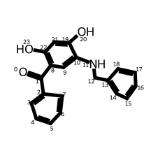 O=C(c1ccccc1)c1cc(NCc2ccccc2)c(O)cc1O